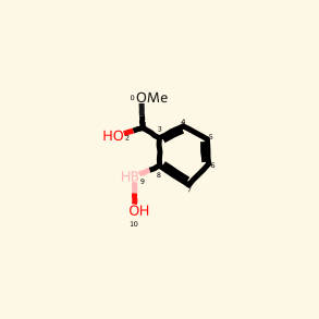 COC(O)c1ccccc1BO